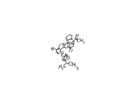 CNC(=O)[C@H]1CCCC[C@H]1C(=O)N1CCc2c(Br)ccc(OCc3noc(C(C)C)n3)c2C1CN1CCCC1=O